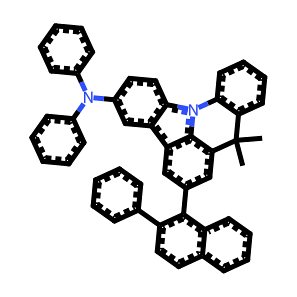 CC1(C)c2ccccc2-n2c3ccc(N(c4ccccc4)c4ccccc4)cc3c3cc(-c4c(-c5ccccc5)ccc5ccccc45)cc1c32